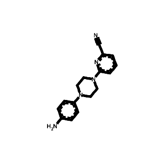 N#Cc1cccc(N2CCN(c3ccc(N)cc3)CC2)n1